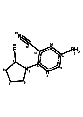 Bc1cnc(N2CCCC2F)c(C#N)c1